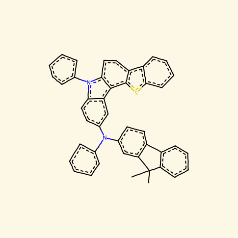 CC1(C)c2ccccc2-c2ccc(N(c3ccccc3)c3ccc4c(c3)c3c5sc6ccccc6c5ccc3n4-c3ccccc3)cc21